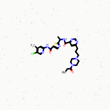 CC(NC(=O)c1cc(CCCN2CCN(C(=O)CC(C)(C)C)CC2)ncn1)c1ncc(C(=O)Nc2cc(C(F)(F)F)c(Cl)cn2)s1